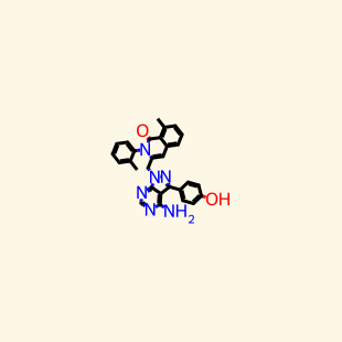 Cc1ccccc1-n1c(Cn2nc(-c3ccc(O)cc3)c3c(N)ncnc32)cc2cccc(C)c2c1=O